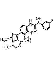 Cc1c(-c2nc(C)n3c(C)cnc(N)c23)ccc(NC(=O)C(O)c2cccc(F)c2)c1F